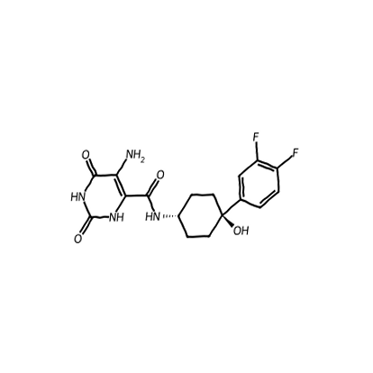 Nc1c(C(=O)N[C@H]2CC[C@@](O)(c3ccc(F)c(F)c3)CC2)[nH]c(=O)[nH]c1=O